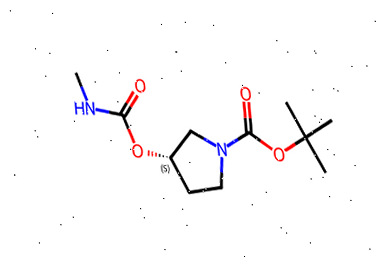 CNC(=O)O[C@H]1CCN(C(=O)OC(C)(C)C)C1